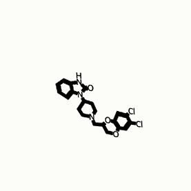 O=c1[nH]c2ccccc2n1C1CCN(CC2COc3cc(Cl)c(Cl)cc3O2)CC1